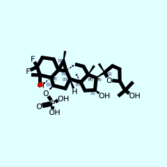 C[C@@H]1C23CCC(F)(F)C(C)(C)[C@@H]2[C@@H](OP(=O)(O)O)C[C@@H]2[C@]13CC[C@]1(C)[C@@H]([C@]3(C)CCC(C(C)(C)O)O3)[C@@H](O)C[C@@]21C